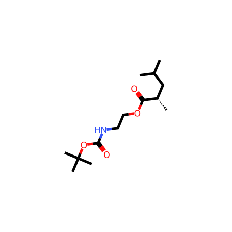 CC(C)C[C@H](C)C(=O)OCCNC(=O)OC(C)(C)C